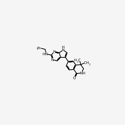 CC(C)CNc1ncc2c(-c3ccc4c(c3)C(C)(C)CNC4=O)c[nH]c2n1